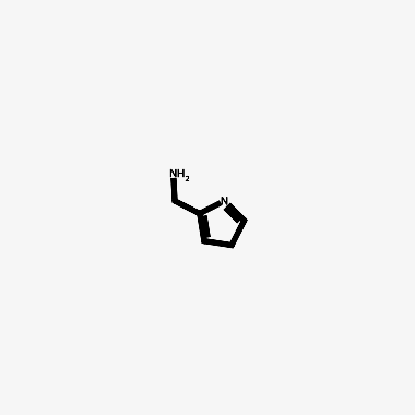 NCC1=CCC=N1